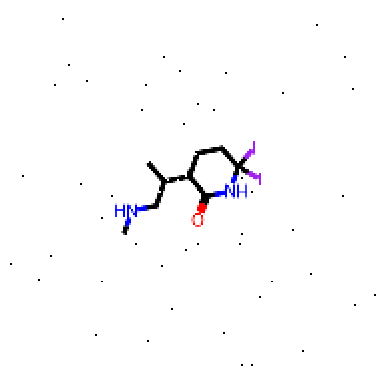 CNCC(C)C1CCC(I)(I)NC1=O